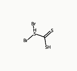 S=C(S)[SH](Br)Br